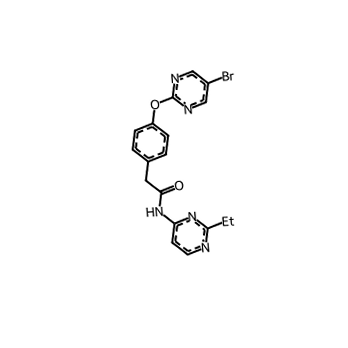 CCc1nccc(NC(=O)Cc2ccc(Oc3ncc(Br)cn3)cc2)n1